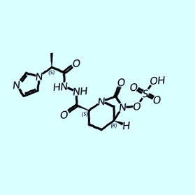 C[C@@H](C(=O)NNC(=O)[C@@H]1CC[C@@H]2CN1C(=O)N2OS(=O)(=O)O)n1ccnc1